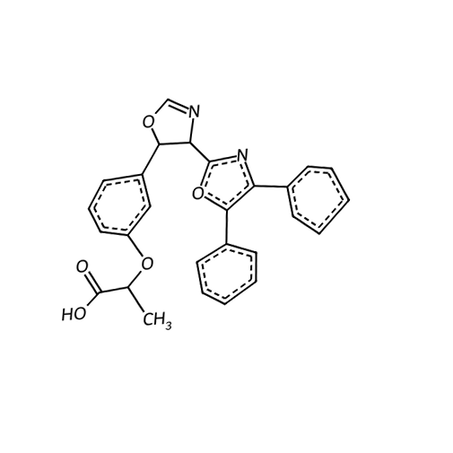 CC(Oc1cccc(C2OC=NC2c2nc(-c3ccccc3)c(-c3ccccc3)o2)c1)C(=O)O